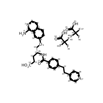 Nc1nccc2ccc(OC[C@@H](CCC(=O)O)NC(=O)c3ccc(CCc4ccncc4)cc3)cc12.O=C(O)C(F)(F)F.O=C(O)C(F)(F)F